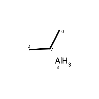 C[CH]C.[AlH3]